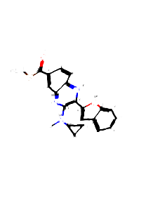 CCCCSC(=O)c1ccc2nc(-c3cc4ccccc4o3)c(N(C)C3CC3)nc2c1